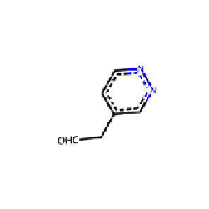 O=CCc1ccnnc1